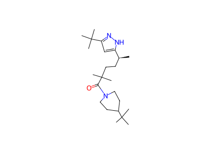 C[C@@H](CCC(C)(C)C(=O)N1CCC(C(C)(C)C)CC1)c1cc(C(C)(C)C)n[nH]1